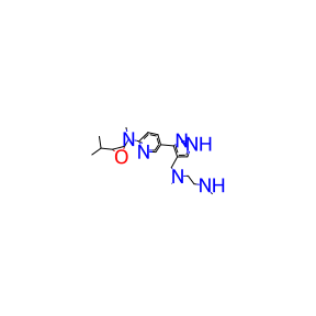 CNCCN(C)Cc1c[nH]nc1-c1ccc(N(C)C2OC2C(C)C)nc1